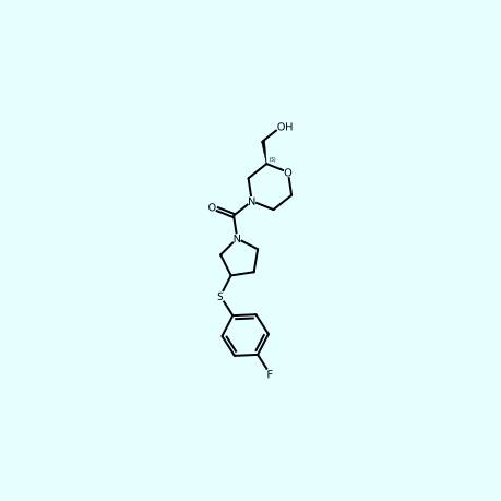 O=C(N1CCC(Sc2ccc(F)cc2)C1)N1CCO[C@H](CO)C1